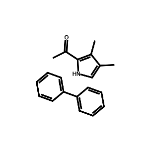 CC(=O)c1[nH]cc(C)c1C.c1ccc(-c2ccccc2)cc1